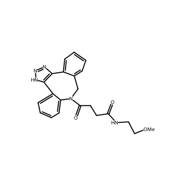 COCCNC(=O)CCC(=O)N1Cc2ccccc2-c2nn[nH]c2-c2ccccc21